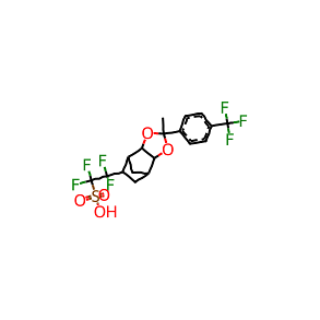 CC1(c2ccc(C(F)(F)F)cc2)OC2C3CC(C2O1)C(C(F)(F)C(F)(F)S(=O)(=O)O)C3